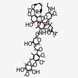 C#C/C=C\C#C[C@H](O[C@@H]1O[C@H](C)[C@@H](NO[C@H]2C[C@H](O)[C@H](SC(=O)c3c(C)c(I)c(O[C@@H]4O[C@@H](C)[C@H](O)[C@@H](OC)[C@H]4O)c(OC)c3OC)[C@@H](C)O2)[C@H](O)[C@H]1O[C@H]1C[C@H](OC)[C@@H](NCC)CO1)C1=C(NC(=O)OC)C(=O)C[C@](C)(O)/C1=C/CSSC(C)(C)CC(=O)N(C)C